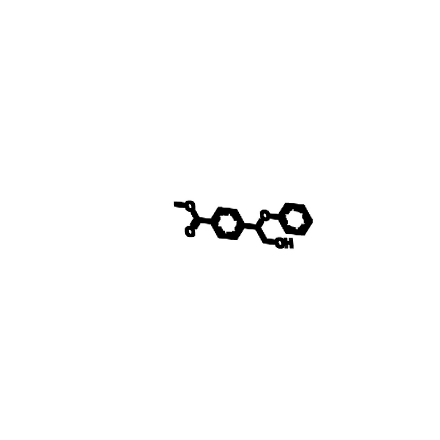 COC(=O)c1ccc(C(CO)Oc2ccccc2)cc1